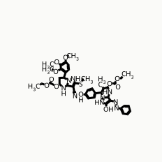 CCOC(=O)OC1CC(c2ccc(OC)c(OC)c2OC)N2NC(SC)=C(C#N)C2N1.CCOC(=O)OC1NC2C(N=Nc3ccccc3)=C(O)NN2C(c2ccc(O)cc2)C1C